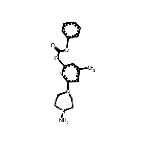 NN1CCN(c2cc(C(F)(F)F)cc(NC(=O)Oc3ccccc3)n2)CC1